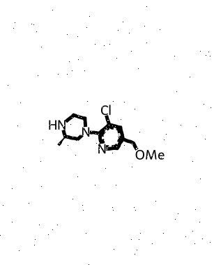 COCc1cnc(N2CCN[C@H](C)C2)c(Cl)c1